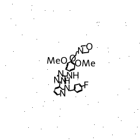 COc1cc(Nc2ncnc(-c3cccnc3NCc3ccc(F)cc3)n2)cc(OC)c1OCCN1CCOCC1